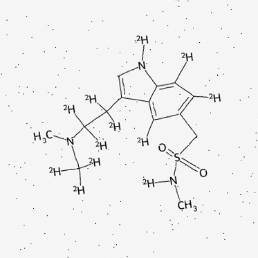 [2H]c1c(CS(=O)(=O)N([2H])C)c([2H])c2c(C([2H])([2H])C([2H])([2H])N(C)C([2H])([2H])[2H])cn([2H])c2c1[2H]